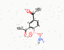 CC(C)(C)C(=O)c1ccc(B(O)ON)c(C(=O)C(C)(C)C)c1